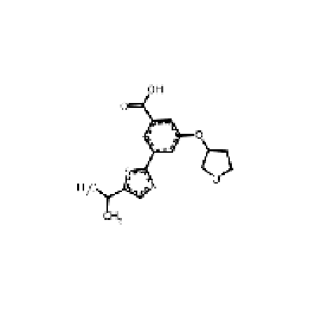 CC(C)c1cnc(-c2cc(OC3CCOC3)cc(C(=O)O)c2)s1